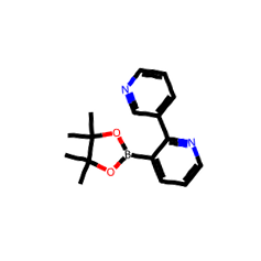 CC1(C)OB(c2cccnc2-c2cccnc2)OC1(C)C